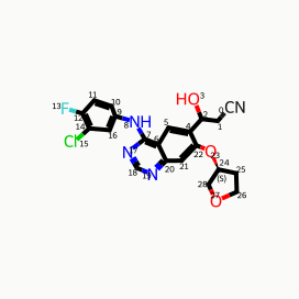 N#CCC(O)c1cc2c(Nc3ccc(F)c(Cl)c3)ncnc2cc1O[C@H]1CCOC1